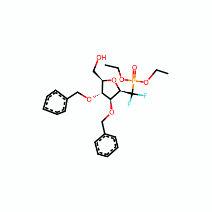 CCOP(=O)(OCC)C(F)(F)[C@@H]1O[C@H](CO)[C@@H](OCc2ccccc2)[C@@H]1OCc1ccccc1